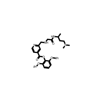 CC(CCN(C)C)NC(=O)CNCc1cc(C(=O)Oc2c(OC(C)C)cccc2OC(C)C)ccn1